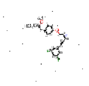 CCO[C@@H](Cc1ccc(OC/C=C\C#Cc2cc(F)cc(F)c2)cc1)C(=O)O